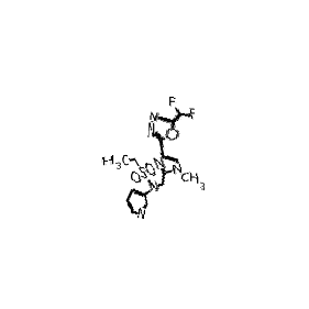 CCS(=O)(=O)N(Cc1nc(-c2nnc(C(F)F)o2)cn1C)c1cccnc1